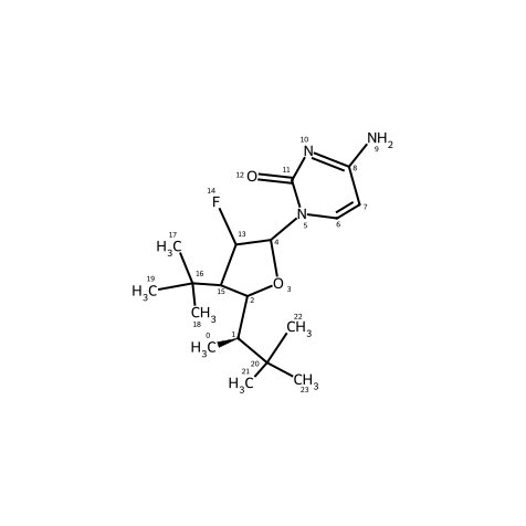 C[C@@H](C1OC(n2ccc(N)nc2=O)C(F)C1C(C)(C)C)C(C)(C)C